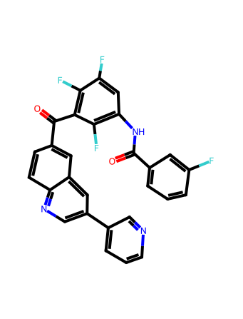 O=C(Nc1cc(F)c(F)c(C(=O)c2ccc3ncc(-c4cccnc4)cc3c2)c1F)c1cccc(F)c1